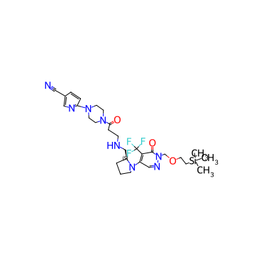 C[Si](C)(C)CCOCn1ncc(N2CCC[C@H]2CNCCC(=O)N2CCN(c3ccc(C#N)cn3)CC2)c(C(F)(F)F)c1=O